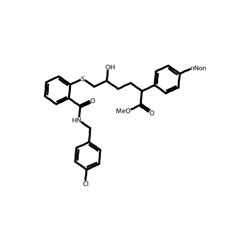 CCCCCCCCCc1ccc(C(CCC(O)CSc2ccccc2C(=O)NCc2ccc(Cl)cc2)C(=O)OC)cc1